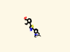 [C-]#[N+]c1cc(-c2ncc(-c3cccc(C=O)c3CC)s2)ccc1CC(C)C